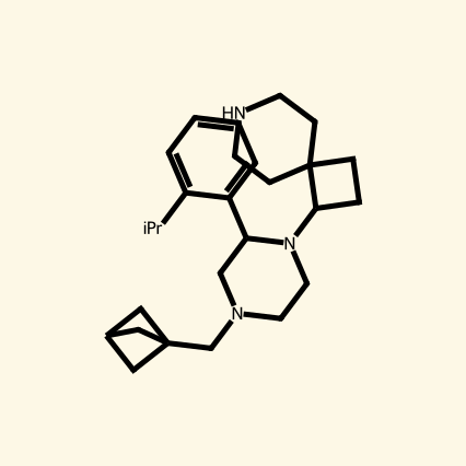 CC(C)c1ccccc1C1CN(CC23CC(C2)C3)CCN1C1CCC12CCNCC2